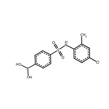 Cc1cc(Cl)ccc1NS(=O)(=O)c1ccc(B(O)O)cc1